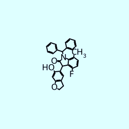 Cc1ccc(F)c2c1N(C(c1ccccc1)c1ccccc1)C(=O)C2c1cc2c(cc1O)OCC2